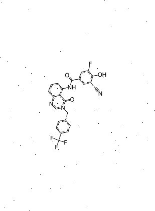 N#Cc1cc(C(=O)Nc2cccc3ncn(Cc4ccc(C(F)(F)F)cc4)c(=O)c23)cc(F)c1O